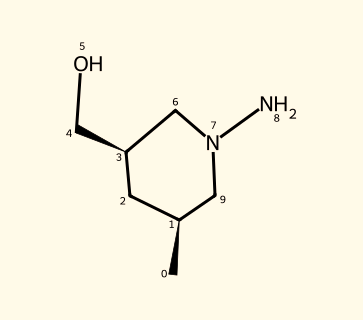 C[C@H]1C[C@@H](CO)CN(N)C1